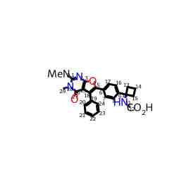 CNc1nc2oc(-c3ccc(C4(NC(=O)O)CCC4)cc3)c(-c3ccccc3)c2c(=O)n1C